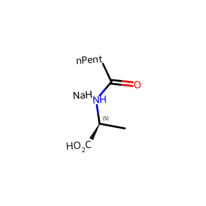 CCCCCC(=O)N[C@@H](C)C(=O)O.[NaH]